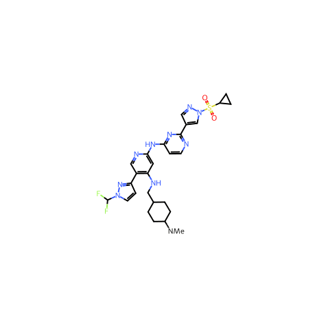 CNC1CCC(CNc2cc(Nc3ccnc(-c4cnn(S(=O)(=O)C5CC5)c4)n3)ncc2-c2ccn(C(F)F)n2)CC1